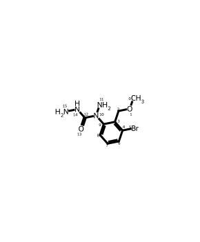 COCc1c(Br)cccc1N(N)C(=O)NN